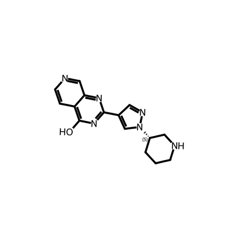 Oc1nc(-c2cnn([C@H]3CCCNC3)c2)nc2cnccc12